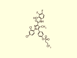 Cc1c(C(=O)Nc2ccc(F)c(F)c2O)nn(-c2ccc(Cl)cc2Cl)c1-c1ccc(OS(=O)(=O)CCC(F)(F)F)cc1